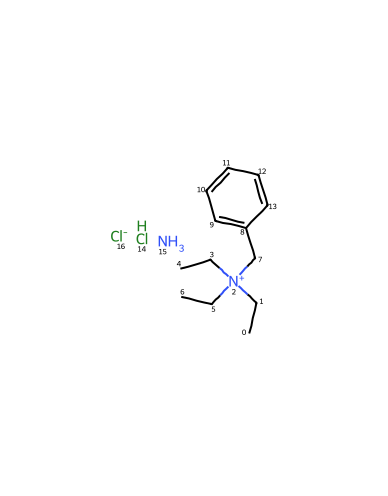 CC[N+](CC)(CC)Cc1ccccc1.Cl.N.[Cl-]